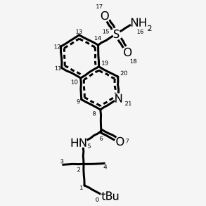 CC(C)(C)CC(C)(C)NC(=O)c1cc2cccc(S(N)(=O)=O)c2cn1